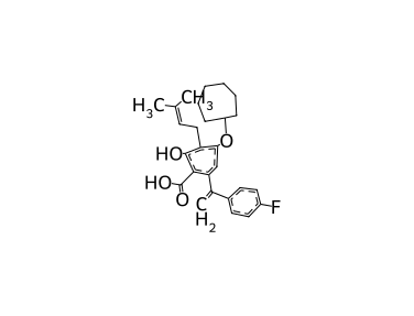 C=C(c1ccc(F)cc1)c1cc(OC2CCCCCC2)c(CC=C(C)C)c(O)c1C(=O)O